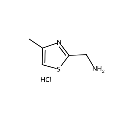 Cc1csc(CN)n1.Cl